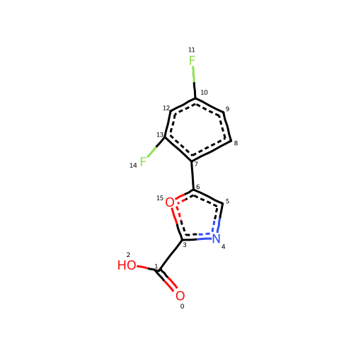 O=C(O)c1ncc(-c2ccc(F)cc2F)o1